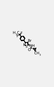 C[C@@H]1C[C@H]1C(=O)Nc1snc(-c2ccc(C(C)(F)F)cc2)c1Br